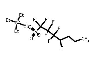 CC[N+](CC)(CC)CC.O=S(=O)([O-])C(F)(F)C(F)(F)C(F)(F)C(F)CCC(F)(F)F